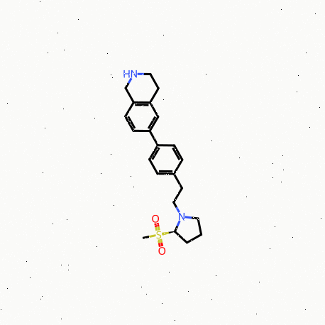 CS(=O)(=O)[C@@H]1CCCN1CCc1ccc(-c2ccc3c(c2)CCNC3)cc1